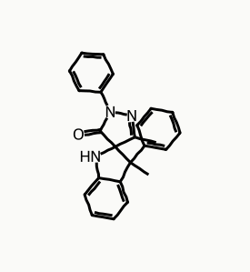 CC1=NN(c2ccccc2)C(=O)C12Nc1ccccc1C2(C)c1ccccc1